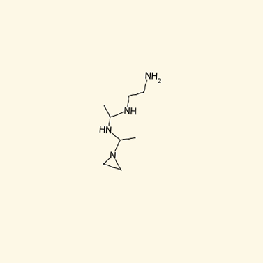 CC(NCCN)NC(C)N1CC1